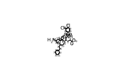 COC(=O)CC[C@H](C(=O)NS(=O)(=O)c1ccc(Cl)c(Cl)c1)N1CCC(CCc2ccccc2)N2C[C@H](N)C[C@H]2C1=O